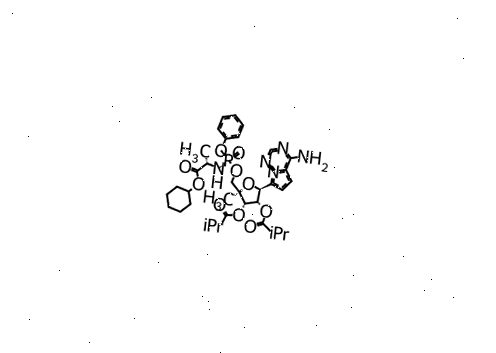 CC(C)C(=O)O[C@H]1[C@H](c2ccc3c(N)ncnn23)O[C@](C)(CO[P@@](=O)(N[C@@H](C)C(=O)OC2CCCCC2)Oc2ccccc2)[C@H]1OC(=O)C(C)C